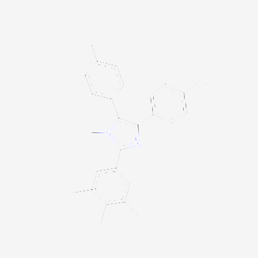 CCn1c(-c2cc(C)c(C)c(C)c2)nc(-c2ccc(C(C)(C)C)cc2)c1-c1ccc(C(C)(C)C)cc1